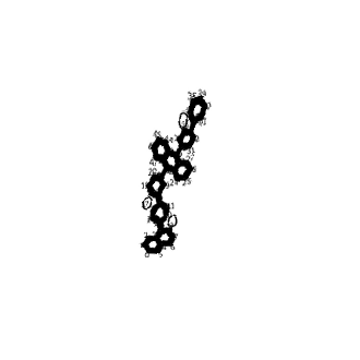 c1ccc2c(c1)ccc1oc3cc4c(cc3c12)oc1ccc(-c2c3ccccc3c(-c3ccc5c(c3)oc3ccccc35)c3ccccc23)cc14